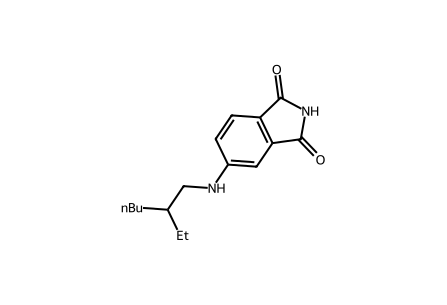 CCCCC(CC)CNc1ccc2c(c1)C(=O)NC2=O